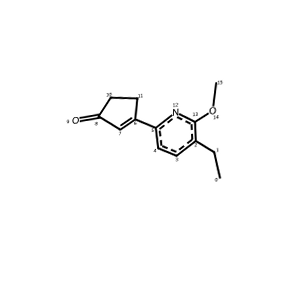 CCc1ccc(C2=CC(=O)CC2)nc1OC